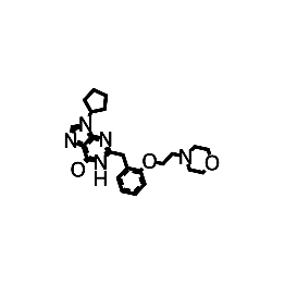 O=c1[nH]c(Cc2ccccc2OCCN2CCOCC2)nc2c1ncn2C1CCCC1